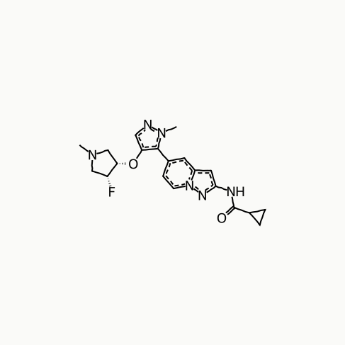 CN1C[C@@H](F)[C@@H](Oc2cnn(C)c2-c2ccn3nc(NC(=O)C4CC4)cc3c2)C1